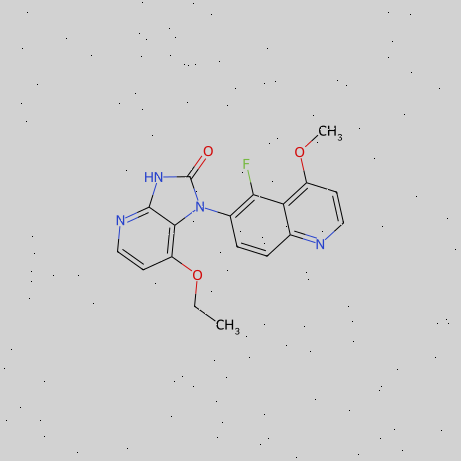 CCOc1ccnc2[nH]c(=O)n(-c3ccc4nccc(OC)c4c3F)c12